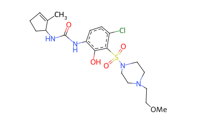 COCCN1CCN(S(=O)(=O)c2c(Cl)ccc(NC(=O)NC3CCC=C3C)c2O)CC1